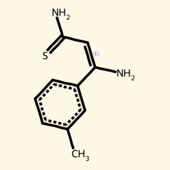 Cc1cccc(/C(N)=C\C(N)=S)c1